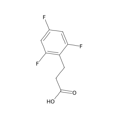 O=C(O)CCc1c(F)cc(F)cc1F